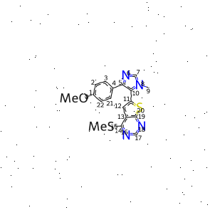 COc1ccc(-c2ncn(C)c2-c2cc3c(SC)ncnc3s2)cc1